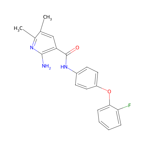 Cc1cc(C(=O)Nc2ccc(Oc3ccccc3F)cc2)c(N)nc1C